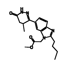 CCCCc1nc2ccc(C3=NNC(=O)CC3C)cc2n1CC(=O)OC